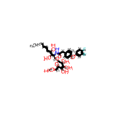 CCCCCCCCCCCCCC[C@@H](O)[C@@H](O)[C@H](CO[C@H]1OC(CO)[C@H](O)C(O)[C@@H]1O)NC(=O)Cc1ccc(Oc2ccc(F)c(F)c2)cc1